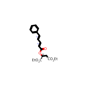 CCOC(=O)C[C@H](OC(=O)/C=C/C=C/c1ccccc1)C(=O)OCC